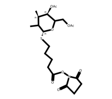 CC(=O)OCC1O[C@H](SCCCCC(=O)ON2C(=O)CCC2=O)C(C)[C@@H](C)[C@H]1OC(C)=O